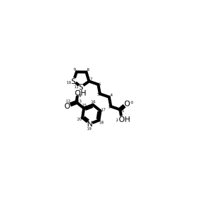 O=C(O)CCCCC1CCSS1.O=C(O)c1cccnc1